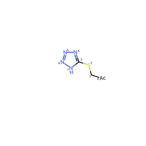 CC(=O)CSc1nnn[nH]1